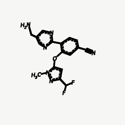 Cn1nc(C(F)F)cc1Oc1cc(C#N)ccc1-c1ncc(CN)cn1